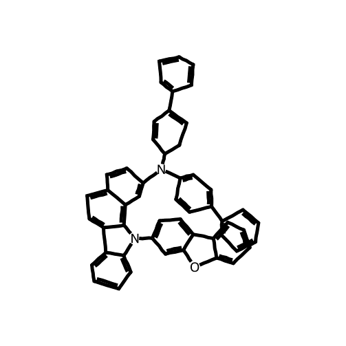 C1=CC(N(c2ccc(-c3ccccc3)cc2)c2ccc3ccc4c5ccccc5n(-c5ccc6c(c5)oc5ccccc56)c4c3c2)CC=C1c1ccccc1